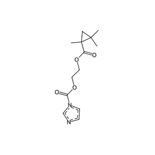 CC1(C)CC1(C)C(=O)OCCOC(=O)n1ccnc1